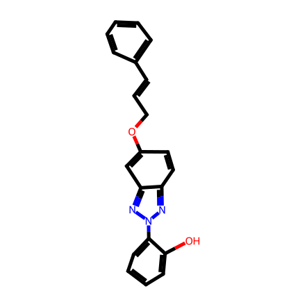 Oc1ccccc1-n1nc2ccc(OC/C=C/c3ccccc3)cc2n1